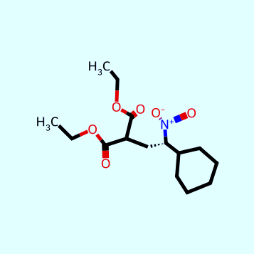 CCOC(=O)C(C[C@@H](C1CCCCC1)[N+](=O)[O-])C(=O)OCC